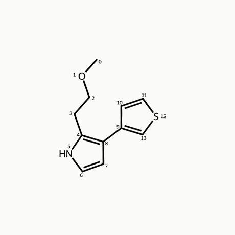 COCCc1[nH]ccc1-c1ccsc1